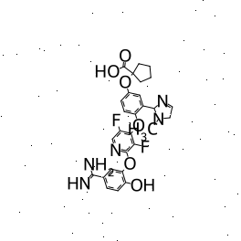 CN1CC=NC1c1cc(OC2(C(=O)O)CCCC2)ccc1Oc1c(F)cnc(Oc2cc(C(=N)N)ccc2O)c1F